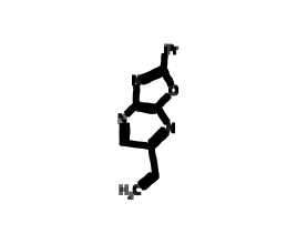 C=Cc1cnc2nc(C(C)C)oc2n1